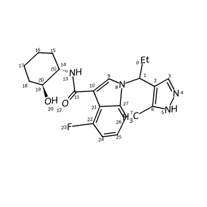 CCC(c1cn[nH]c1C)n1cc(C(=O)N[C@H]2CCCC[C@@H]2O)c2c(F)cccc21